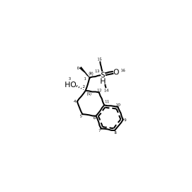 C[C@H]([C@]1(O)CCc2ccccc2C1)[SH](C)(C)=O